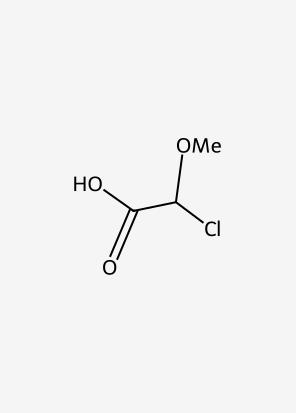 COC(Cl)C(=O)O